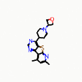 Cc1cc(C)c2c(n1)sc1c(C3CCN(C4COC4)CC3)ncnc12